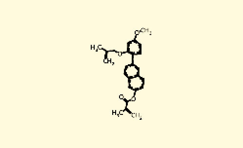 C=C(C)COc1cc(OC)ccc1-c1ccc2cc(OC(=O)C(=C)C)ccc2c1